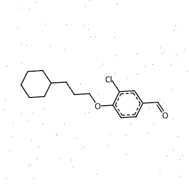 O=Cc1ccc(OCCCC2CCCCC2)c(Cl)c1